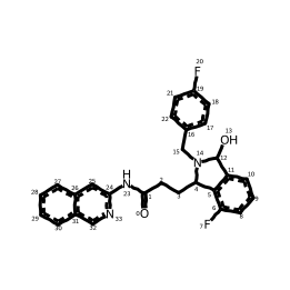 O=C(CCC1c2c(F)cccc2C(O)N1Cc1ccc(F)cc1)Nc1cc2ccccc2cn1